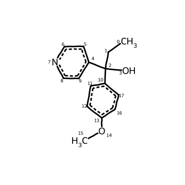 CCC(O)(c1ccncc1)c1ccc(OC)cc1